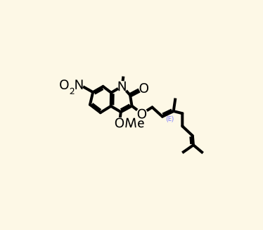 COc1c(OC/C=C(\C)CCC=C(C)C)c(=O)n(C)c2cc([N+](=O)[O-])ccc12